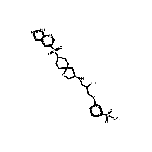 CNS(=O)(=O)c1cccc(OCC(O)CN[C@H]2COC3(CCN(S(=O)(=O)c4cnc5[nH]ncc5c4)CC3)C2)c1